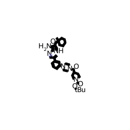 C=C(/C=N\c1[nH]cc(C(=O)C2(C)CCCCC2)c1N)c1cccc(N2CCN(C(=O)C3CCN(C(=O)OC(C)(C)C)CC3)CC2)c1